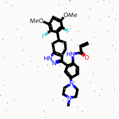 C=CC(=O)Nc1ccc(N2CCN(C)CC2)cc1-c1n[nH]c2c1CCC(c1c(F)c(OC)cc(OC)c1F)C2